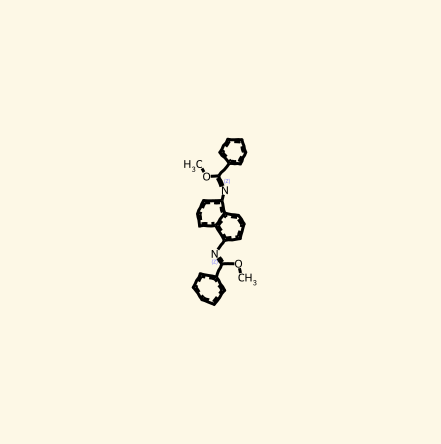 CO/C(=N\c1cccc2c(/N=C(\OC)c3ccccc3)cccc12)c1ccccc1